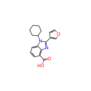 O=C(O)c1cccc2c1nc(-c1ccoc1)n2C1CCCCC1